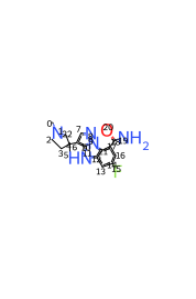 CN1CCC(C)(c2cnn3c2[nH]c2cc(F)cc(C(N)=O)c23)C1